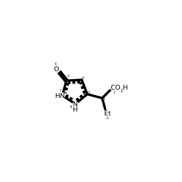 CCC(C(=O)O)c1cc(=O)[nH][nH]1